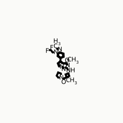 COc1nc(NC2CC(C)(C(=O)N3CCCC3)C2)nn2ccc(-c3ccc4nc(C)n(CC(F)F)c4c3)c12